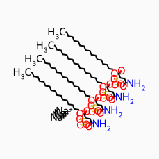 CCCCCCCCCCCCCCCCCCOC(=O)C(CC(N)=O)S(=O)(=O)[O-].CCCCCCCCCCCCCCCCCCOC(=O)C(CC(N)=O)S(=O)(=O)[O-].CCCCCCCCCCCCCCCCCCOC(=O)C(CC(N)=O)S(=O)(=O)[O-].CCCCCCCCCCCCCCCCCCOC(=O)C(CC(N)=O)S(=O)(=O)[O-].[Na+].[Na+].[Na+].[Na+]